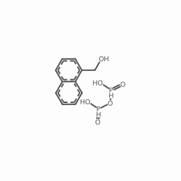 O=[PH](O)O[PH](=O)O.OCc1cccc2ccccc12